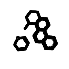 C1=CCOC=C1.CC1CCCc2ccc3c(ccc4ccccc43)c21